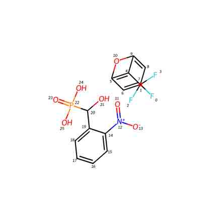 FC(F)(F)c1c2cccc1O2.O=[N+]([O-])c1ccccc1C(O)P(=O)(O)O